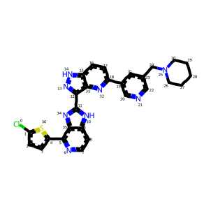 Clc1ccc(-c2nccc3[nH]c(-c4n[nH]c5ccc(-c6cncc(CN7CCCCC7)c6)nc45)nc23)s1